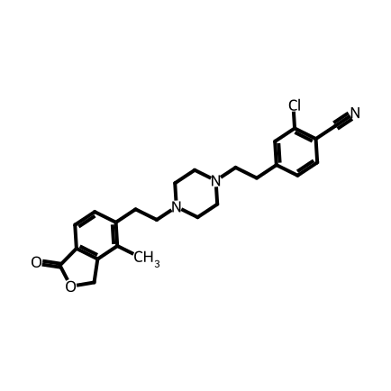 Cc1c(CCN2CCN(CCc3ccc(C#N)c(Cl)c3)CC2)ccc2c1COC2=O